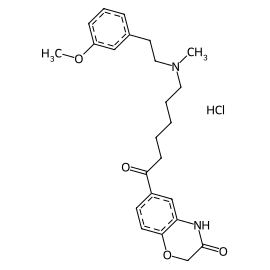 COc1cccc(CCN(C)CCCCCC(=O)c2ccc3c(c2)NC(=O)CO3)c1.Cl